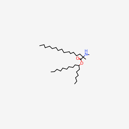 CCCCCCCCCCCCCCC(C)(NC)C(=O)OC(CCCCCC)CCCCCCCCC